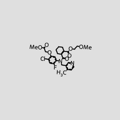 COCCOC(=O)C1=C(C(=O)N(Cc2cnccc2C)c2cc(OCC(=O)OC)c(Cl)cc2F)CCCC1